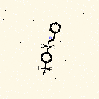 O=S(=O)(/C=C/c1ccccc1)c1ccc(C(F)(F)F)cc1